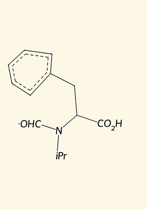 CC(C)N([C]=O)C(Cc1ccccc1)C(=O)O